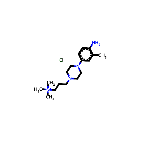 Cc1cc(N2CCN(CCC[N+](C)(C)C)CC2)ccc1N.[Cl-]